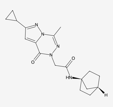 Cc1nn(CC(=O)N[C@]23CC[C@H](CC2)C3)c(=O)c2cc(C3CC3)nn12